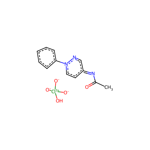 CC(=O)N=c1ccn(-c2ccccc2)nc1.[O-][Cl+3]([O-])([O-])O